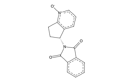 O=C1c2ccccc2C(=O)N1[C@@H]1CCc2c1ccc[n+]2[O-]